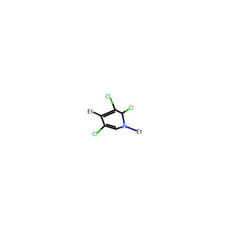 CCC1=C(Cl)C(Cl)N(CC)[C]=C1Cl